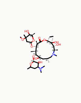 CC[C@H]1OC(=O)[C@H](C)[C@@H](O[C@H]2CC(C)(OC)C(O)[C@@H](C)O2)[C@H](C)[C@@H](O[C@@H]2OC(C)CC(N(C)C)C2O)[C@](C)(O)C[C@@H](C)CN(C)[C@H](C)[C@@H](O)[C@]1(C)O